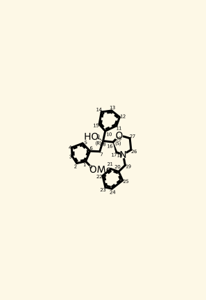 COc1ccccc1C[C@@](O)(c1ccccc1)[C@@H]1CN(Cc2ccccc2)CCO1